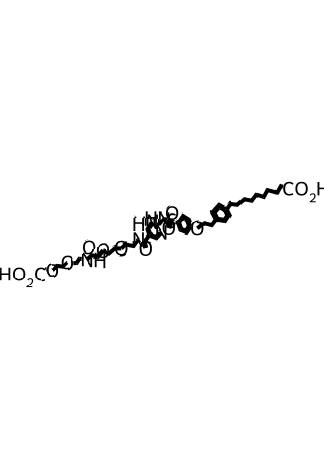 O=C(O)CCCCCCCCCc1ccc(CCOc2ccc(S(=O)(=O)Nc3ncc(C(=O)NCCOCCOCC(=O)NCCOCCOCC(=O)O)cn3)cc2)cc1